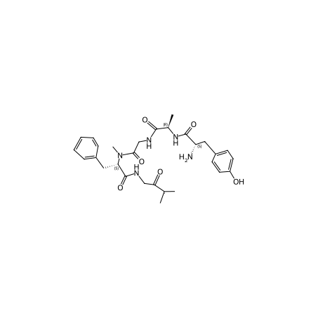 C[C](C)C(=O)CNC(=O)[C@H](Cc1ccccc1)N(C)C(=O)CNC(=O)[C@@H](C)NC(=O)[C@@H](N)Cc1ccc(O)cc1